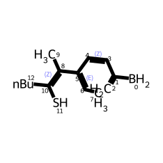 BC(=C)\C=C/C(=C\C)C(/C)=C(\S)CCCC